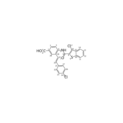 O=C(O)c1ccc(NC(=O)c2sc3ccccc3c2Cl)c(C=Cc2ccc(Cl)cc2)c1